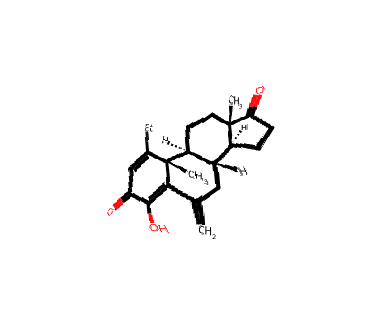 C=C1C[C@@H]2[C@H](CC[C@]3(C)C(=O)CC[C@@H]23)[C@@]2(C)C(CC)=CC(=O)C(O)=C12